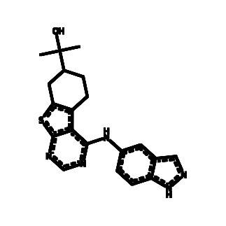 CC(C)(O)C1CCc2c(sc3ncnc(Nc4ccc5[nH]ncc5c4)c23)C1